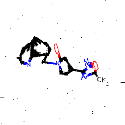 O=c1cc(-c2noc(C(F)(F)F)n2)ccn1Cc1cccc2cccnc12